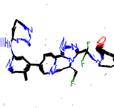 Cc1cnc(Nc2ccnn2C)cc1-c1cc2n(c1)C[C@H](CF)n1c-2nnc1C(F)(F)n1ccccc1=O